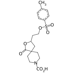 Cc1ccc(S(=O)(=O)OCCC2CC3(CCN(C(=O)O)CC3)C(=O)O2)cc1